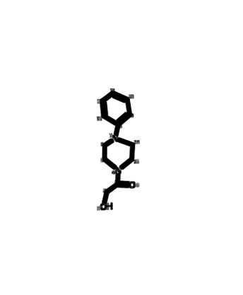 O=C(CO)N1CCN(c2cc[c]cc2)CC1